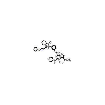 CC(C)c1cnn2c(NCc3cccc(NC(=O)C4CCCCN4C(=O)/C=C/CN4CCCC4)c3)nc(NC3CCOCC3)nc12